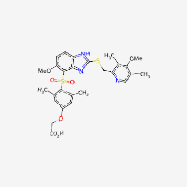 COc1ccc2[nH]c(SCc3ncc(C)c(OC)c3C)nc2c1S(=O)(=O)c1c(C)cc(OCC(=O)O)cc1C